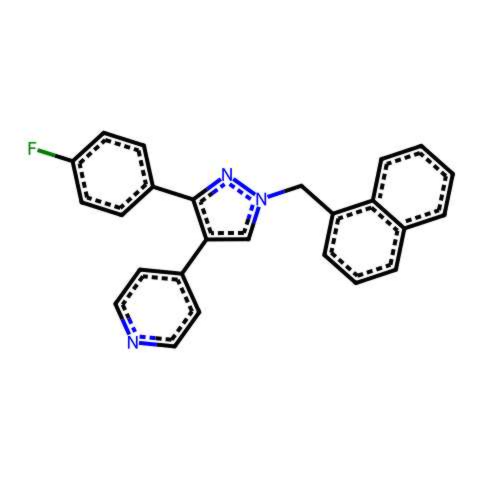 Fc1ccc(-c2nn(Cc3cccc4ccccc34)cc2-c2ccncc2)cc1